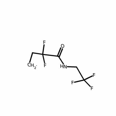 [CH2]CC(F)(F)C(=O)NCC(F)(F)F